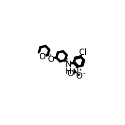 O=[N+]([O-])c1ccc(Cl)cc1N[C@H]1CCCC(O[C@@H]2CCCCO2)C1